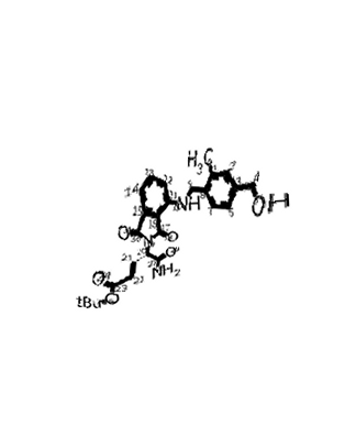 Cc1cc(CO)ccc1CNc1cccc2c1C(=O)N([C@@H](CCC(=O)OC(C)(C)C)C(N)=O)C2=O